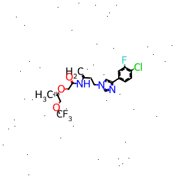 C=C(CCn1cnc(-c2ccc(Cl)c(F)c2)c1)NC(=O)CO[C@@H](C)COC(F)(F)F